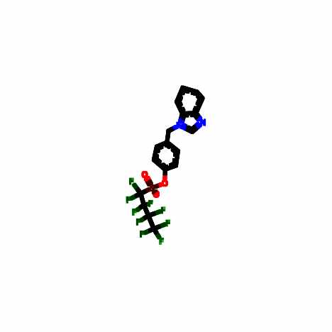 O=S(=O)(Oc1ccc(Cn2cnc3ccccc32)cc1)C(F)(F)C(F)(F)C(F)(F)C(F)(F)F